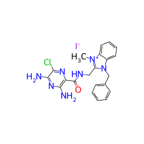 C[n+]1c(CNC(=O)c2nc(Cl)c(N)nc2N)n(Cc2ccccc2)c2ccccc21.[I-]